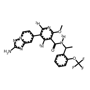 [2H]c1nc(OC)c(C(=O)N([2H])C(C)c2ccccc2OC(F)(F)F)c([2H])c1-c1ccn2nc(N)nc2c1